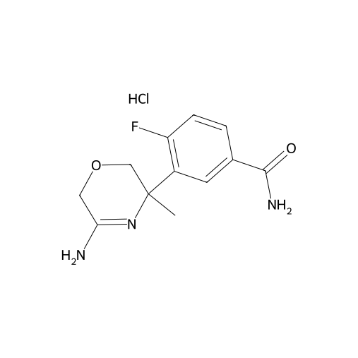 CC1(c2cc(C(N)=O)ccc2F)COCC(N)=N1.Cl